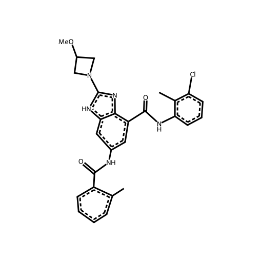 COC1CN(c2nc3c(C(=O)Nc4cccc(Cl)c4C)cc(NC(=O)c4ccccc4C)cc3[nH]2)C1